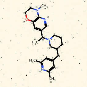 Cc1cc(CC2CCCN(C(C)c3cnc4c(c3)OCCN4C)C2)cc(C)n1